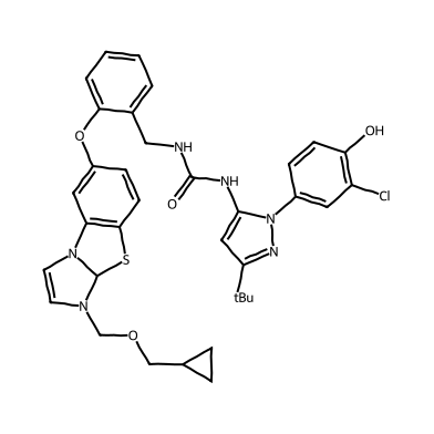 CC(C)(C)c1cc(NC(=O)NCc2ccccc2Oc2ccc3c(c2)N2C=CN(COCC4CC4)C2S3)n(-c2ccc(O)c(Cl)c2)n1